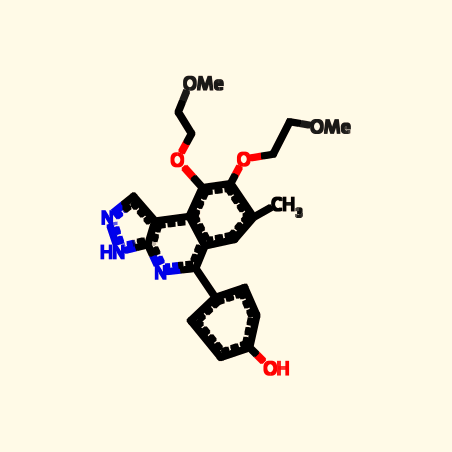 COCCOc1c(C)cc2c(-c3ccc(O)cc3)nc3[nH]ncc3c2c1OCCOC